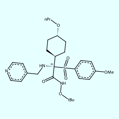 CCCO[C@H]1CC[C@H]([C@](NCc2ccncc2)(C(=O)NOC(C)(C)C)S(=O)(=O)c2ccc(OC)cc2)CC1